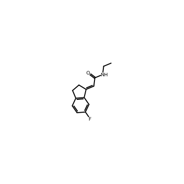 CCNC(=O)C=C1CCc2ccc(F)cc21